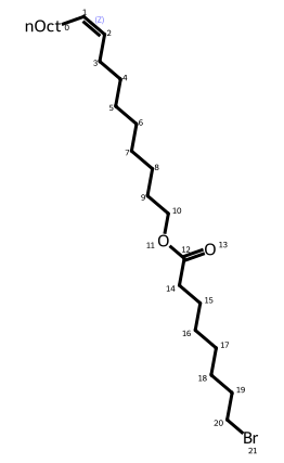 CCCCCCCC/C=C\CCCCCCCCOC(=O)CCCCCCCBr